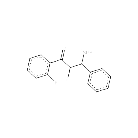 CC(=O)NC(c1ccccc1)C(F)C(=O)c1ccccc1Br